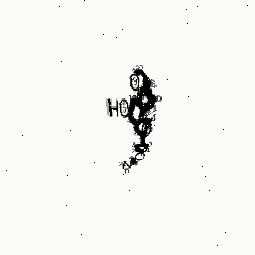 CN(C)CCOc1ccc(C2CC3=CC(O)=Cc4c5c(ccc4=C3CO2)=CCCO5)cc1